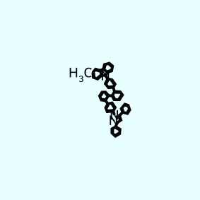 Cc1ccc2c(c1)c1ccccc1n2-c1ccc(-c2ccccc2-c2ccccc2-c2ccc(-n3nc(-c4ccccc4)cc3-c3ccccc3)cc2)cc1